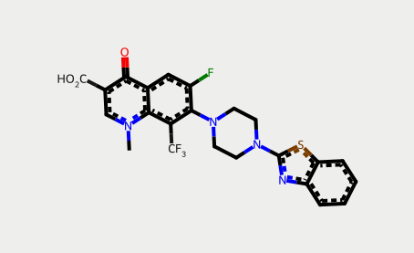 Cn1cc(C(=O)O)c(=O)c2cc(F)c(N3CCN(c4nc5ccccc5s4)CC3)c(C(F)(F)F)c21